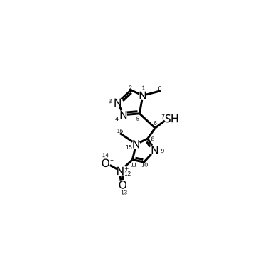 Cn1cnnc1C(S)c1ncc([N+](=O)[O-])n1C